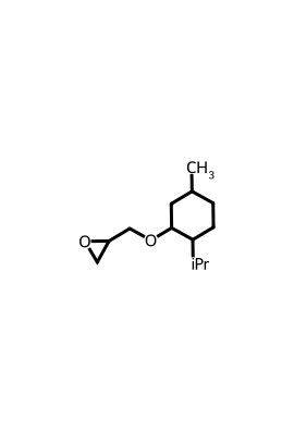 CC1CCC(C(C)C)C(OCC2CO2)C1